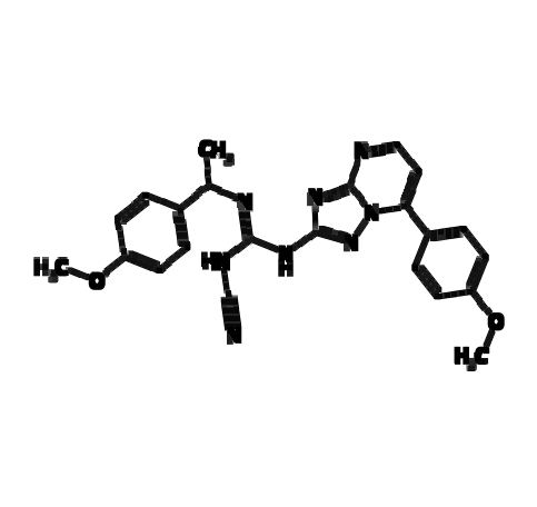 COc1ccc(-c2ccnc3nc(NC(=NC(C)c4ccc(OC)cc4)NC#N)nn23)cc1